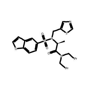 CC(C)CN(CC(C)C)C(=O)[C@H](C)N(Cc1cncs1)S(=O)(=O)c1ccc2occc2c1